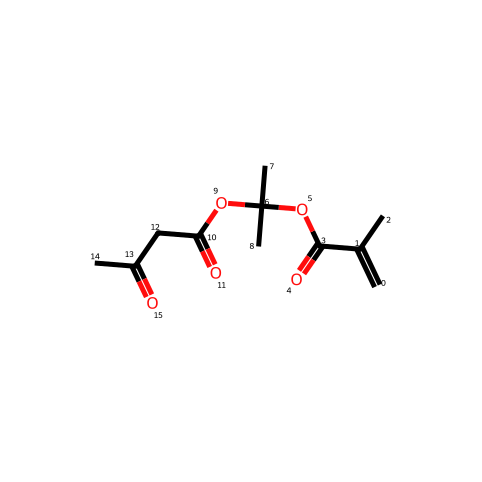 C=C(C)C(=O)OC(C)(C)OC(=O)CC(C)=O